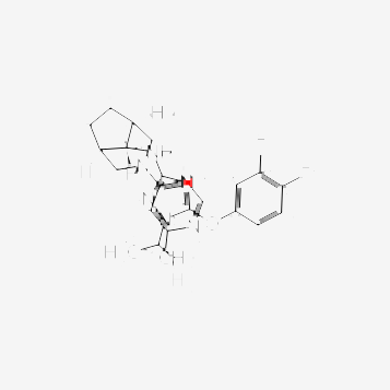 Cc1cc(N2C[C@H]3CC[C@@H](C2)[C@@H]3Nc2nc(Oc3ccc(F)c(F)c3)n(C(C)C)n2)ncn1